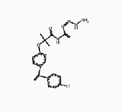 C=C(/N=N\NN)NC(=O)C(C)(C)Oc1ccc(C(=C)c2ccc(Cl)cc2)cc1